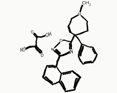 CN1CCC(c2ccccc2)(c2nc(-c3cccc4ccccc34)no2)CC1.O=C(O)C(=O)O